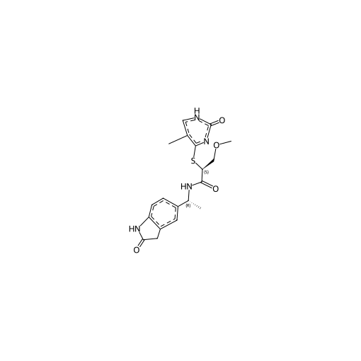 COC[C@H](Sc1nc(=O)[nH]cc1C)C(=O)N[C@H](C)c1ccc2c(c1)CC(=O)N2